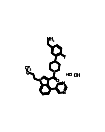 Cl.Cl.NCc1ccc(F)c(C2CCN(C(=O)c3cn(CCOC(F)(F)F)c4cccc(-c5cncnc5)c34)CC2)c1